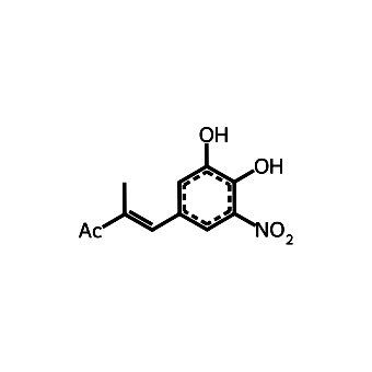 CC(=O)C(C)=Cc1cc(O)c(O)c([N+](=O)[O-])c1